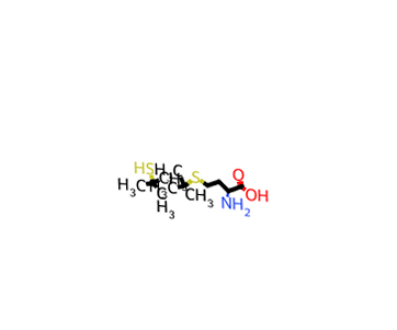 CC(C)(C)S.CC(C)(C)SCC[C@H](N)C(=O)O